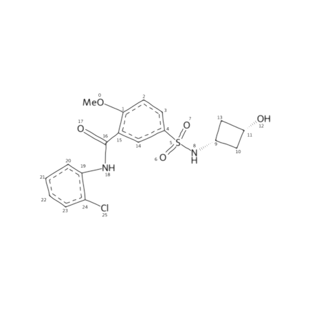 COc1ccc(S(=O)(=O)N[C@H]2C[C@@H](O)C2)cc1C(=O)Nc1ccccc1Cl